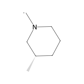 [CH2]N1CCC[C@H](C)C1